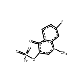 CC(C)S(=O)(=O)Oc1cn(C)c2cc(F)ccc2c1=O